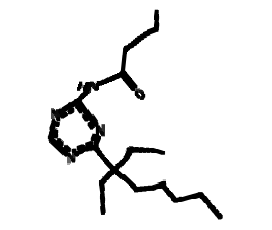 CCCCCC(CC)(CC)c1ncnc(NC(=O)CCC)n1